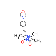 Cc1c(C)n2c(/C=C/c3ccc(N4CCOCC4)cc3)c(C)c(=O)n2c1=O